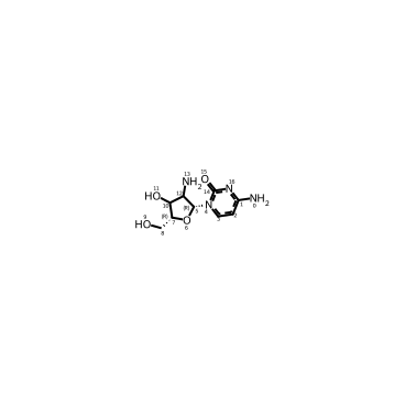 Nc1ccn([C@@H]2O[C@H](CO)C(O)C2N)c(=O)n1